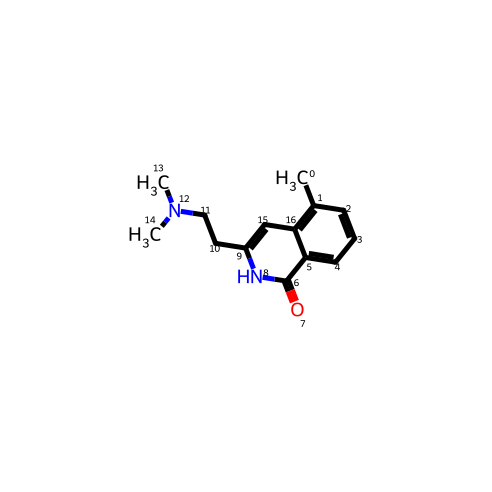 Cc1cccc2c(=O)[nH]c(CCN(C)C)cc12